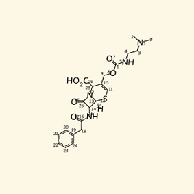 CN(C)CCNC(=O)OCC1=CS[C@H]2C(NC(=O)Cc3ccccc3)C(=O)N2C1C(=O)O